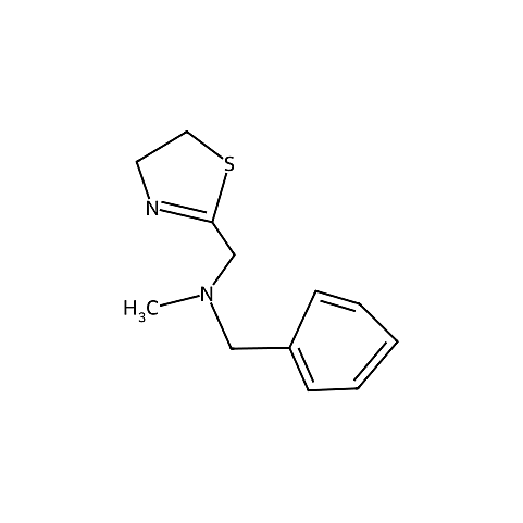 CN(CC1=NCCS1)Cc1ccccc1